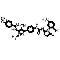 Cc1ccc(C(C)C)c(N2C(=O)CS/C2=N\C(=O)Nc2ccc(-c3nn(C)c(NC(=O)c4ccc(OC(F)(F)F)cc4)c3C#N)cc2)c1